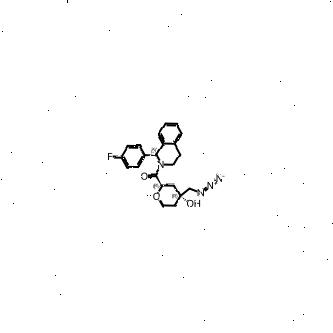 [N-]=[N+]=NC[C@@]1(O)CCO[C@@H](C(=O)N2CCc3ccccc3[C@@H]2c2ccc(F)cc2)C1